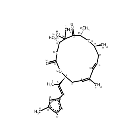 CC1=C/C[C@@H](/C(C)=C/c2csc(C)n2)OC(=O)C[C@H](O)C(C)(C)C(=O)[C@H](C)C[C@@H](C)C\C=C\1